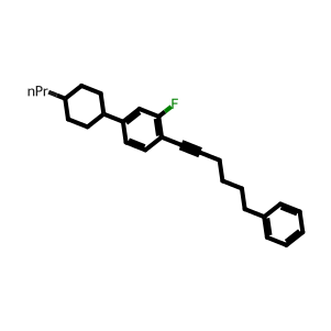 CCCC1CCC(c2ccc(C#CCCCCc3ccccc3)c(F)c2)CC1